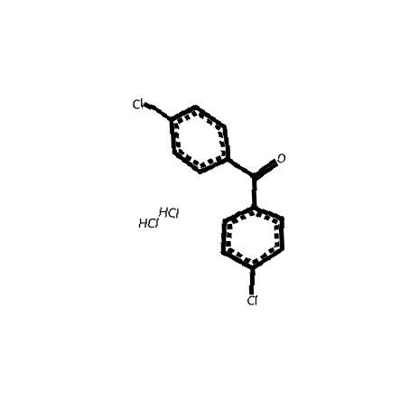 Cl.Cl.O=C(c1ccc(Cl)cc1)c1ccc(Cl)cc1